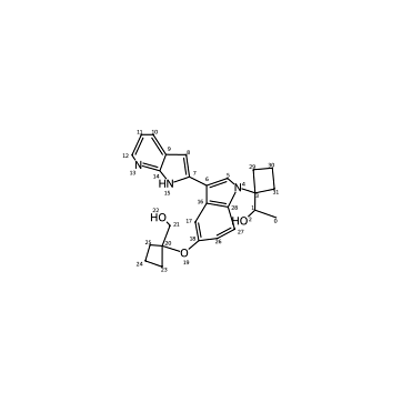 CC(O)C1(n2cc(-c3cc4cccnc4[nH]3)c3cc(OC4(CO)CCC4)ccc32)CCC1